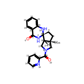 O=C1N[C@]2(CC[C@@H]3CN(C(=O)c4ccccn4)C[C@@H]32)Nc2ccccc21